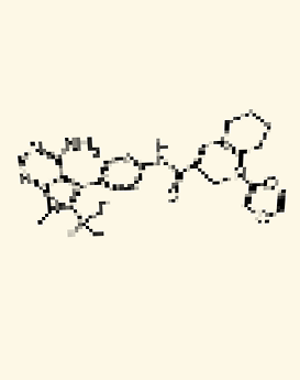 Cn1c(C(F)(F)F)c(-c2ccc(NC(=O)C3=CC4=C(CCCC4)N(C4=COC=CO4)C3)cc2)c2c(N)ncnc21